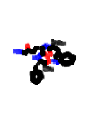 COC(=O)[C@H](Cc1ccccc1)NC(=O)[C@H](CCC(=O)C=N)NC(=O)[C@H](Cc1c[nH]c2ccccc12)NC(C)=O